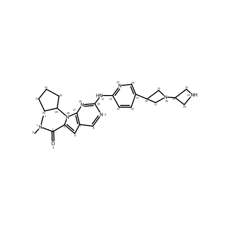 CN(C)C(=O)c1cc2cnc(Nc3ccc(C4CN(C5CNC5)C4)cn3)nc2n1C1CCCC1